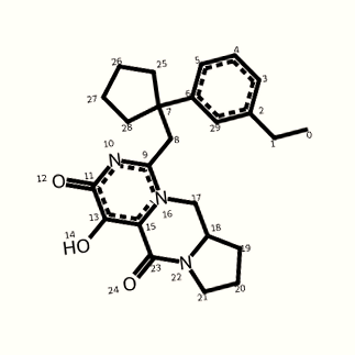 CCc1cccc(C2(Cc3nc(=O)c(O)c4n3CC3CCCN3C4=O)CCCC2)c1